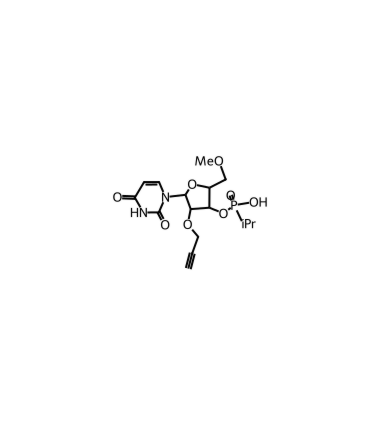 C#CCOC1C(OP(=O)(O)C(C)C)C(COC)OC1n1ccc(=O)[nH]c1=O